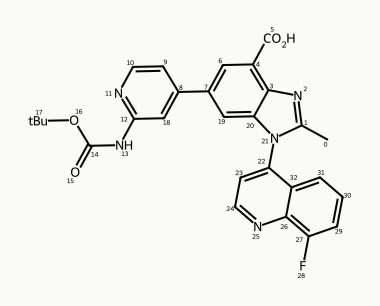 Cc1nc2c(C(=O)O)cc(-c3ccnc(NC(=O)OC(C)(C)C)c3)cc2n1-c1ccnc2c(F)cccc12